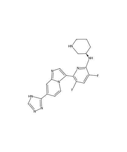 Fc1cc(F)c(-c2cnc3cc(-c4nnc[nH]4)ccn23)nc1N[C@@H]1CCCNC1